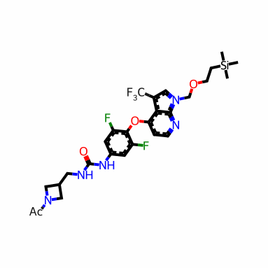 CC(=O)N1CC(CNC(=O)Nc2cc(F)c(Oc3ccnc4c3c(C(F)(F)F)cn4COCC[Si](C)(C)C)c(F)c2)C1